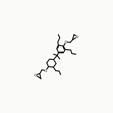 CCCc1cc(C(C)(C)C2CCC(OCC3CO3)C(CCC)C2)cc(CCC)c1OCC1CO1